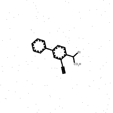 C#Cc1cc(-c2ccccc2)ccc1C(CC)C(=O)O